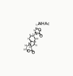 CC(=O)NC[C@H]1CN(c2ccc3c(c2)cc2n3CCOC2=O)C(=O)O1